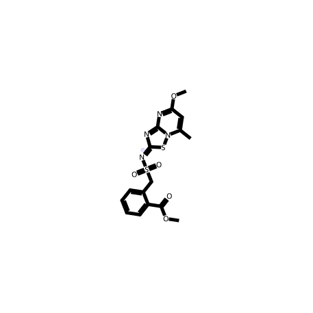 COC(=O)c1ccccc1CS(=O)(=O)/N=c1/nc2nc(OC)cc(C)n2s1